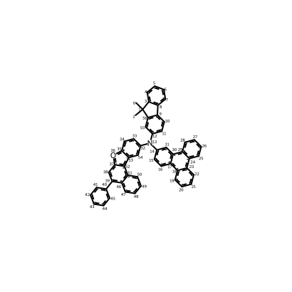 CC1(C)c2ccccc2-c2ccc(N(c3ccc4c5ccccc5c5ccccc5c4c3)c3ccc4oc5cc(-c6ccccc6)c6ccccc6c5c4c3)cc21